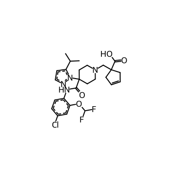 CC(C)c1ccnn1C1(C(=O)Nc2ccc(Cl)cc2OC(F)F)CCN(CC2(C(=O)O)CC=CC2)CC1